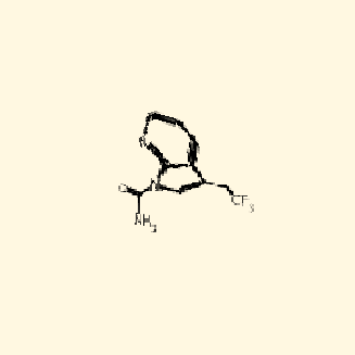 NC(=O)n1cc(CC(F)(F)F)c2cccnc21